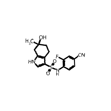 CC1(O)CCc2c(S(=O)(=O)Nc3ccc(C#N)cc3F)c[nH]c2C1